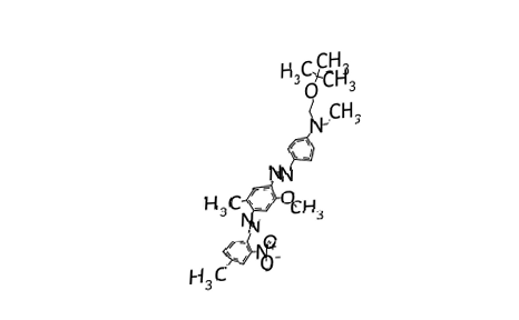 CCN(CCOC(C)(C)C)c1ccc(/N=N/c2cc(C)c(/N=N/c3ccc(C)cc3[N+](=O)[O-])cc2OC)cc1